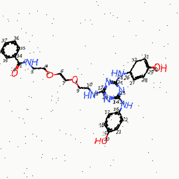 O=C(NCCOCCOCCNc1nc(Nc2ccc(O)cc2)nc(NC2C=CC(O)=CC2)n1)c1ccccc1